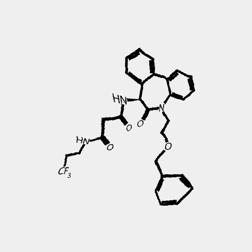 O=C(CC(=O)N[C@@H]1C(=O)N(CCOCc2ccccc2)c2ccccc2-c2ccccc21)NCCC(F)(F)F